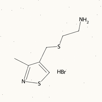 Br.Cc1nscc1CSCCN